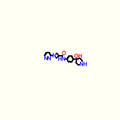 O=C(Nc1ccc(C2(O)CCNCC2)cc1)C1CN(c2cccnn2)C1